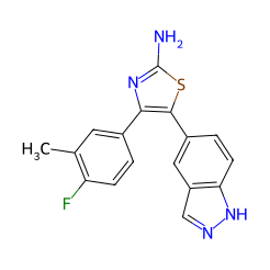 Cc1cc(-c2nc(N)sc2-c2ccc3[nH]ncc3c2)ccc1F